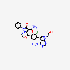 NC(=O)c1c2n(n(-c3ccccc3)c1=O)CCOC2c1ccc(-c2cn(CCO)c3ncnc(N)c23)c(F)c1